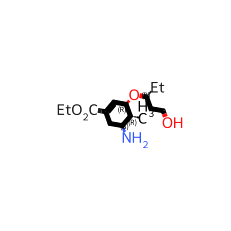 CCOC(=O)C1=C[C@@H](O[C@H](CC)CCO)[C@H](C)[C@@H](N)C1